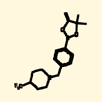 C=C1OB(c2ccc(CN3CCC(C(F)(F)F)CC3)cc2)OC1(C)C